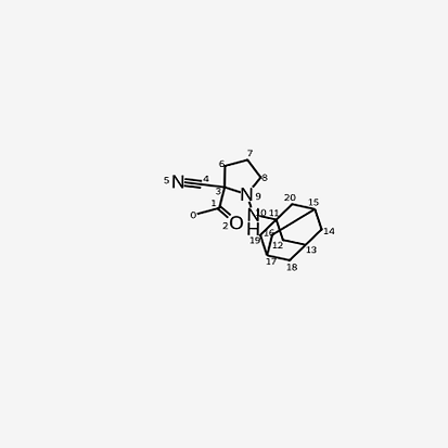 CC(=O)C1(C#N)CCCN1NC12CC3CC(CC(C3)C1)C2